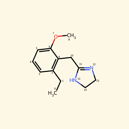 CCc1cccc(OC)c1CC1=NCCN1